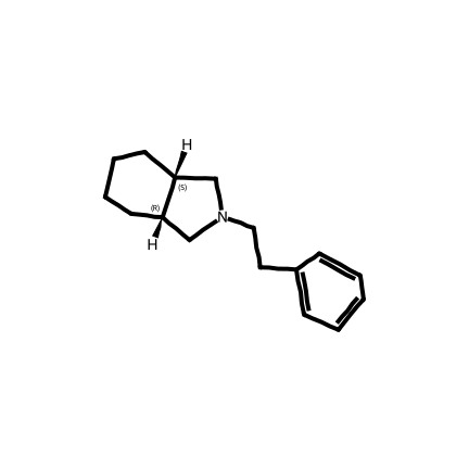 c1ccc(CCN2C[C@H]3CCCC[C@H]3C2)cc1